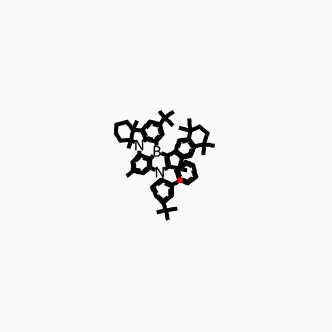 Cc1cc2c3c(c1)N1c4c(cc(C(C)(C)C)cc4C4(C)CCCCC14C)B3C1=C(N2c2ccc(C(C)(C)C)cc2-c2ccccc2)C(C)(C)c2cc3c(cc21)C(C)(C)CCC3(C)C